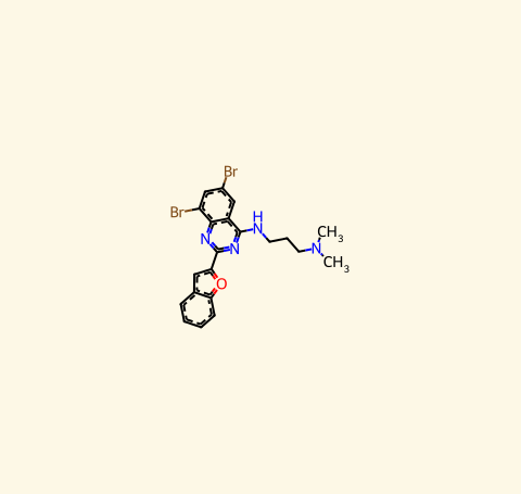 CN(C)CCCNc1nc(-c2cc3ccccc3o2)nc2c(Br)cc(Br)cc12